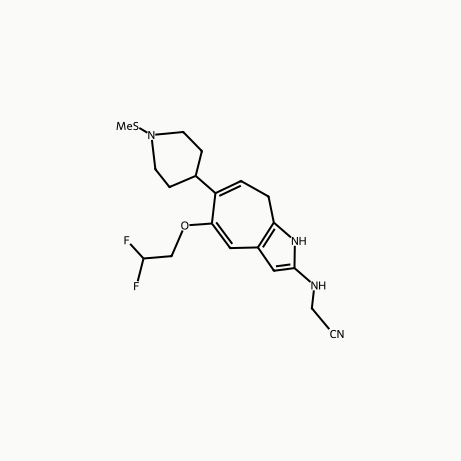 CSN1CCC(C2=CCc3[nH]c(NCC#N)cc3C=C2OCC(F)F)CC1